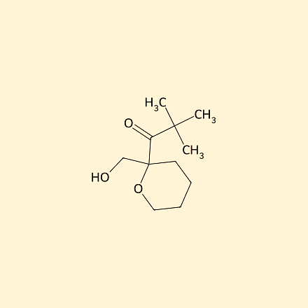 CC(C)(C)C(=O)C1(CO)CCCCO1